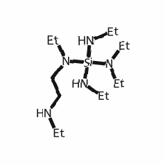 CCNCCN(CC)[Si](NCC)(NCC)N(CC)CC